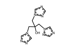 OC(Cn1cnnc1)(Cn1cncn1)Cn1cncn1